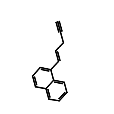 C#CCC=Cc1cccc2ccccc12